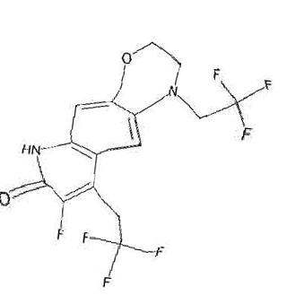 O=c1[nH]c2cc3c(cc2c(CC(F)(F)F)c1F)N(CC(F)(F)F)CCO3